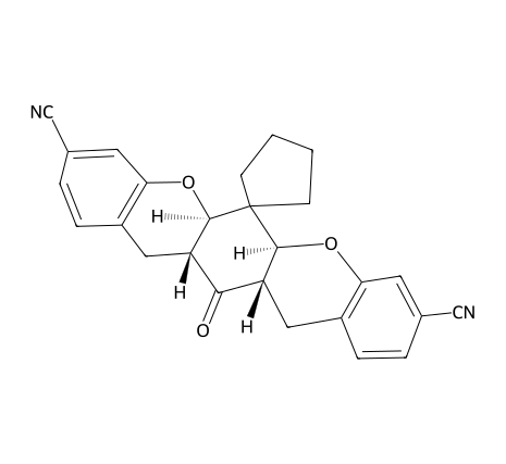 N#Cc1ccc2c(c1)O[C@@H]1[C@@H](C2)C(=O)[C@H]2Cc3ccc(C#N)cc3O[C@@H]2C12CCCC2